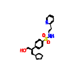 O=S(=O)(NCCc1ccccn1)c1ccc(/C(=C\C2CCCC2)CO)cc1